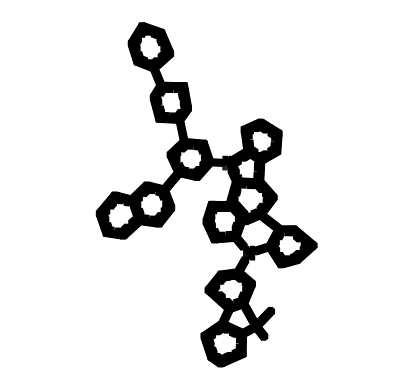 CC1(C)c2ccccc2-c2ccc(N(c3ccccc3)c3ccccc3-c3ccc4c(c3)c3ccccc3n4-c3cc(-c4ccc(-c5ccccc5)cc4)cc(-c4ccc5ccccc5c4)c3)cc21